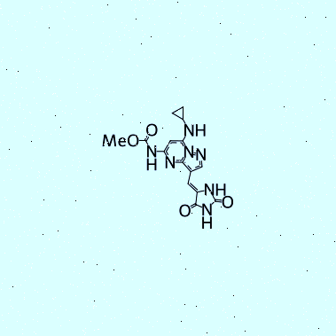 COC(=O)Nc1cc(NC2CC2)n2ncc(C=C3NC(=O)NC3=O)c2n1